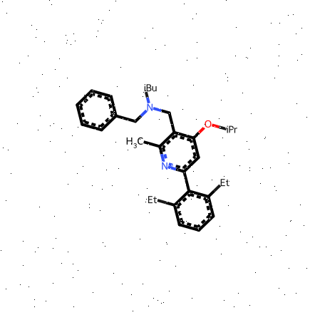 CCc1cccc(CC)c1-c1cc(OC(C)C)c(CN(Cc2ccccc2)C(C)CC)c(C)n1